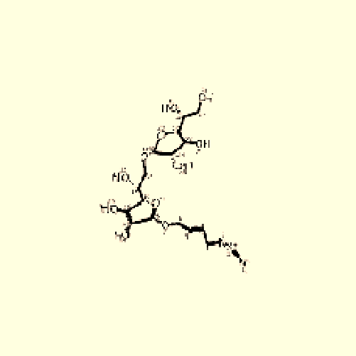 [N-]=[N+]=NC/C=C/CO[C@@H]1O[C@@H]([C@H](O)CO[C@@H]2O[C@@H]([C@H](O)CO)C(O)[C@@H]2O)C(O)[C@@H]1O